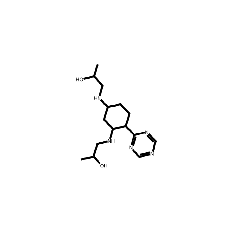 CC(O)CNC1CCC(c2ncncn2)C(NCC(C)O)C1